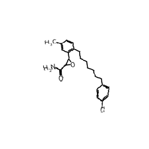 Cc1ccc(CCCCCCCc2ccc(Cl)cc2)c(C2OC2C(N)=O)c1